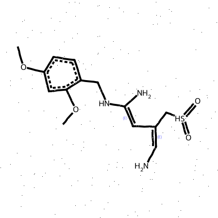 COc1ccc(CN/C(N)=C/C(=C\N)C[SH](=O)=O)c(OC)c1